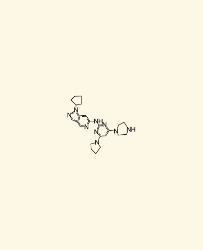 c1c(N2CCCC2)nc(Nc2cc3c(cn2)cnn3C2CCCC2)nc1N1CCNCC1